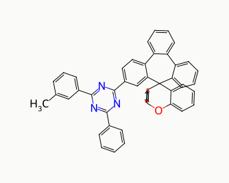 Cc1cccc(-c2nc(-c3ccccc3)nc(-c3ccc4c(c3)C3(c5ccccc5Oc5ccccc53)c3ccccc3-c3ccccc3-4)n2)c1